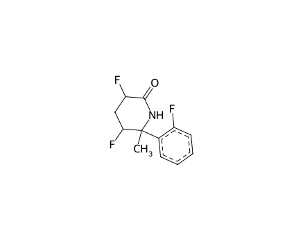 CC1(c2ccccc2F)NC(=O)C(F)CC1F